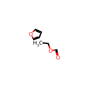 CCOC=O.c1ccoc1